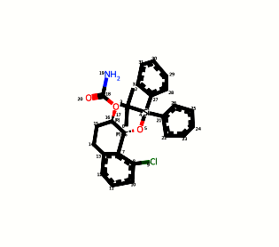 CC(C)(C)[Si](O[C@@H]1c2c(Cl)cccc2CC[C@H]1OC(N)=O)(c1ccccc1)c1ccccc1